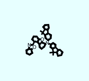 CC1(C)c2ccccc2-c2ccc(N(c3ccc4c(c3)C(C)(C)c3ccccc3-4)c3cccc4c3oc3cccc(-c5nc6ccccc6o5)c34)cc21